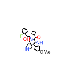 COc1ccc2c3c([nH]c2c1)C(C(=O)C1CCC1)N(CC(O)c1ccccc1F)CC31CCNCC1